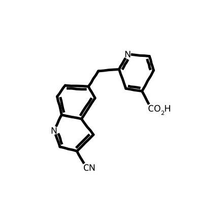 N#Cc1cnc2ccc(Cc3cc(C(=O)O)ccn3)cc2c1